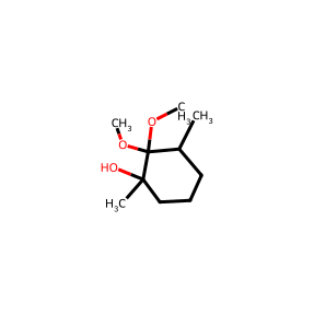 COC1(OC)C(C)CCCC1(C)O